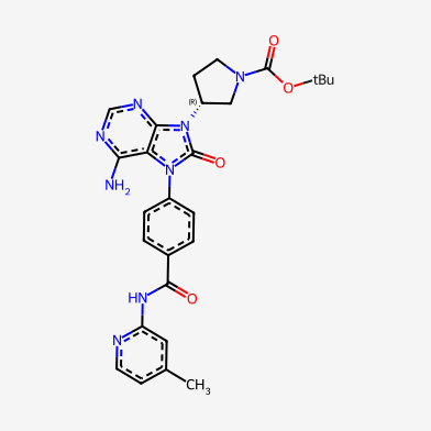 Cc1ccnc(NC(=O)c2ccc(-n3c(=O)n([C@@H]4CCN(C(=O)OC(C)(C)C)C4)c4ncnc(N)c43)cc2)c1